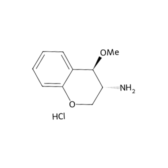 CO[C@@H]1c2ccccc2OC[C@H]1N.Cl